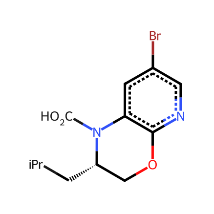 CC(C)C[C@H]1COc2ncc(Br)cc2N1C(=O)O